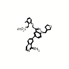 CCOC(=O)Cc1c(C)cccc1OCc1nn(CC2CCOC2)c2ccc(-c3ccc4ccnc(N)c4c3)cc12